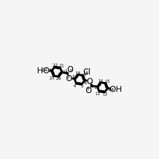 O=C(Oc1ccc(OC(=O)c2ccc(O)cc2)c(Cl)c1)c1ccc(O)cc1